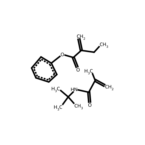 C=C(C)C(=O)NC(C)(C)C.C=C(CC)C(=O)Oc1ccccc1